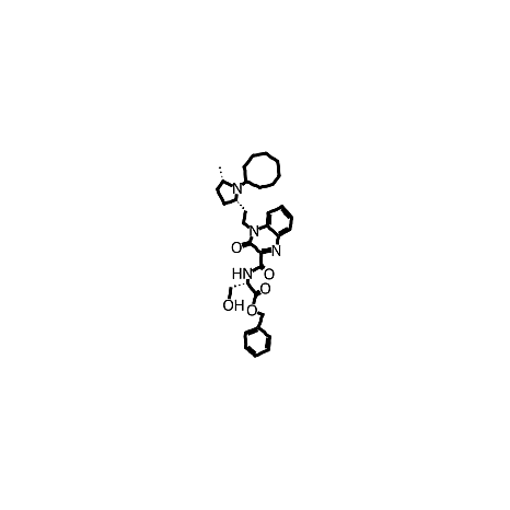 C[C@H]1CC[C@@H](CCn2c(=O)c(C(=O)N[C@@H](CO)C(=O)OCc3ccccc3)nc3ccccc32)N1C1CCCCCCC1